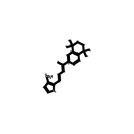 C/C(=C\C=C\c1occc1C(=O)O)c1ccc2c(c1)C(C)(C)CCC2(C)C